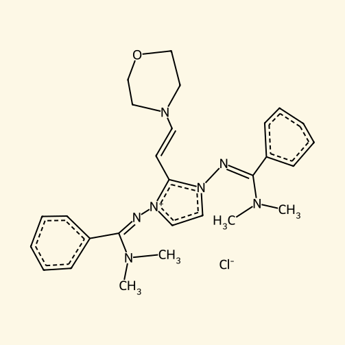 CN(C)C(=Nn1cc[n+](N=C(c2ccccc2)N(C)C)c1C=CN1CCOCC1)c1ccccc1.[Cl-]